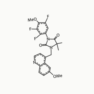 COc1ccc2nccc(CN3C(=O)N(c4cc(F)c(OC)c(F)c4F)C(=O)C3(C)C)c2c1